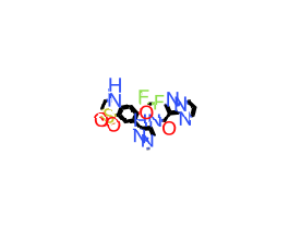 Cn1cc(NC(=O)c2cnn3cccnc23)c(-c2cc3c(cc2OC(F)F)NCCS3(=O)=O)n1